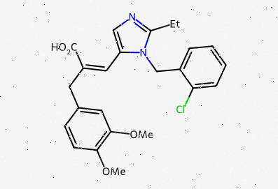 CCc1ncc(C=C(Cc2ccc(OC)c(OC)c2)C(=O)O)n1Cc1ccccc1Cl